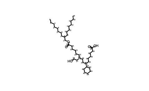 CCCCCCCCC(CCCCCCCC)COC(=O)CCCCCN(CCO)CCN(CCCCCC(=O)O)C1CCCCC1